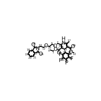 CCOC(=O)C1=C(COCCOCCN2C(=O)c3ccccc3C2=O)NC(C)=C(C(=O)OC)[C@H]1c1c(F)c(F)c(F)c(F)c1F